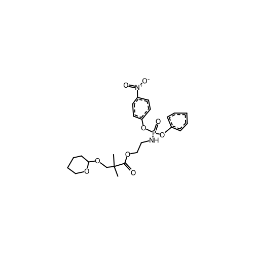 CC(C)(COC1CCCCO1)C(=O)OCCNP(=O)(Oc1ccccc1)Oc1ccc([N+](=O)[O-])cc1